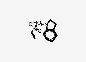 CCS(=O)(=O)O.c1ccc2c(c1)CCN2